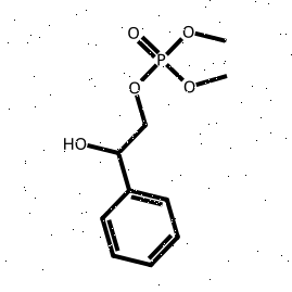 COP(=O)(OC)OCC(O)c1ccccc1